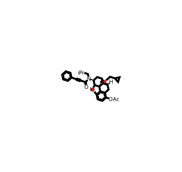 CC(=O)Oc1ccc2c3c1C[C@@H]1[C@@H]4CC[C@H](N(CC(C)C)C(=O)C#Cc5ccccc5)[C@H](O2)[C@]34CCN1CC1CC1